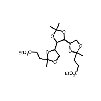 CCOC(=O)CCC1(C)OCC(C2OC(C)(C)OC2C2COC(C)(CCC(=O)OCC)O2)O1